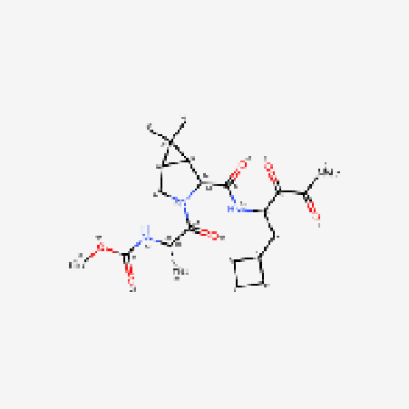 CNC(=O)C(=O)C(CC1CCC1)NC(=O)[C@@H]1C2C(CN1C(=O)[C@@H](NC(=O)OC(C)(C)C)C(C)(C)C)C2(C)C